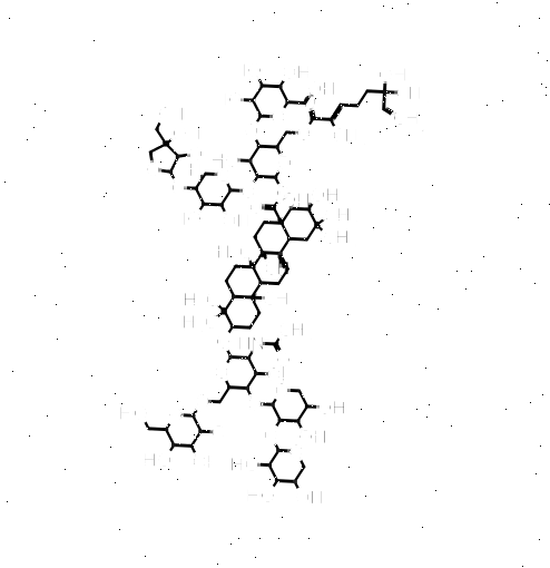 C=CC(C)(O)CC/C=C(\C)C(=O)OCC1OC(OC(=O)C23CCC4(C)C(=CCC5C6(C)CCC(OC7OC(COC8OC(CO)C(O)C(O)C8O)C(OC8OCC(O)C(O)C8OC8OCC(O)C(O)C8O)C(O)C7NC(C)=O)C(C)(C)C6CCC54C)C2CC(C)(C)C(O)C3O)C(OC2OCC(OC3OCC(O)(CC)C3O)C(O)C2O)C(O)C1OC1OC(CO)C(O)C(O)C1O